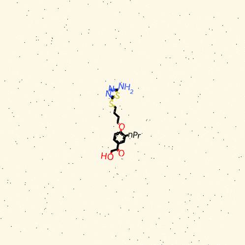 CCCc1cc(C(=O)CO)ccc1OCCCCSc1nnc(N)s1